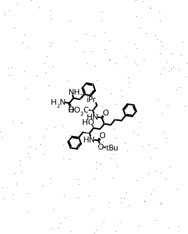 CC(C)C[C@@H](NC(=O)C(CCCc1ccccc1)C[C@H](O)[C@H](Cc1ccccc1)NC(=O)OC(C)(C)C)C(=O)O.NC(=O)C(N)Cc1ccccc1